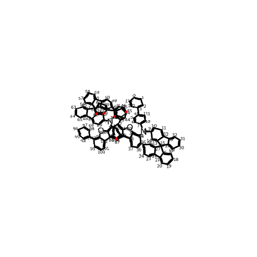 c1ccc(-c2ccc(N(c3ccc4c(c3)C3(c5ccccc5-c5ccccc53)c3ccccc3-4)c3cccc4c3oc3c(-c5cccc(-c6ccc7c(c6)C6(c8ccccc8-7)c7ccccc7-c7ccc(N(c8ccccc8-c8ccccc8)c8cccc9c8oc8c(-c%10ccccc%10)cccc89)cc76)c5)cccc34)cc2)cc1